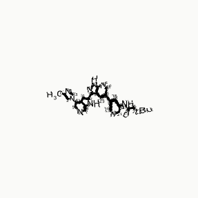 Cc1cn(-c2cncc3[nH]c(-c4n[nH]c5ncc(-c6cncc(NC(=O)CC(C)(C)C)c6)cc45)cc23)cn1